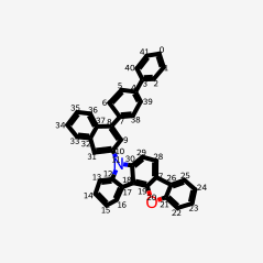 c1ccc(-c2ccc(-c3cc(-n4c5ccccc5c5c6oc7ccccc7c6ccc54)cc4ccccc34)cc2)cc1